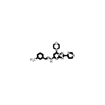 Cc1cccc(/C=N/Nc2cc(N3CCOCC3)n3nc(-c4ccncn4)nc3n2)c1